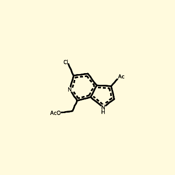 CC(=O)OCc1nc(Cl)cc2c(C(C)=O)c[nH]c12